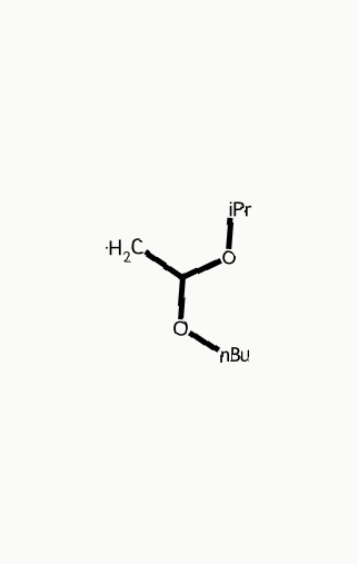 [CH2]C(OCCCC)OC(C)C